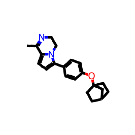 CC1=NCCn2c1ccc2-c1ccc(OC23CCC(CC2)C3)cc1